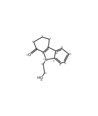 O=C1CCCc2c1n(CCO)c1ccccc21